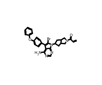 C=CC(=O)N1CC2CC(n3c(Br)c(-c4ccc(Oc5ccccc5)cc4)c4c(N)ncnc43)CC2C1